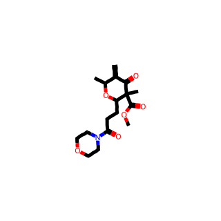 C=C1C(=O)C(C)(C(=O)OC)C(CCC(=O)N2CCOCC2)OC1C